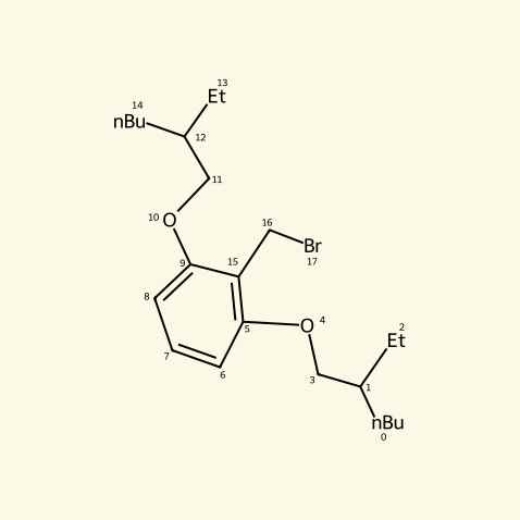 CCCCC(CC)COc1cccc(OCC(CC)CCCC)c1CBr